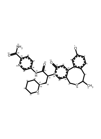 CC1Cc2ccc(Cl)cc2-c2cc(=O)n(C(C[C@@H]3CCCCO3)C(=O)Nc3ccc(C(N)=O)nc3)cc2CO1